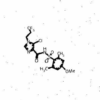 COc1cc(C)c(S(=O)(=O)NC(=O)c2ncn(CCC(F)(F)F)c2Cl)c(C)c1